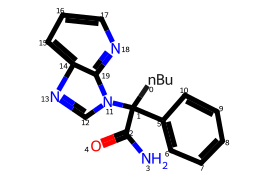 CCCCC(C(N)=O)(c1ccccc1)n1cnc2cccnc21